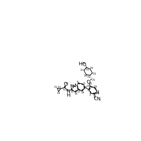 N#Cc1cc(-c2ccn3nc(NC(=O)C4CC4)cc3c2)c(OC[C@H]2CC[C@H](O)CC2)cn1